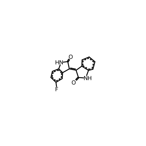 O=C1Nc2ccccc2C1=C1C(=O)Nc2ccc(F)cc21